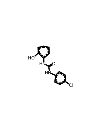 O=C(Nc1ccc(Cl)cc1)Nc1ccccc1O